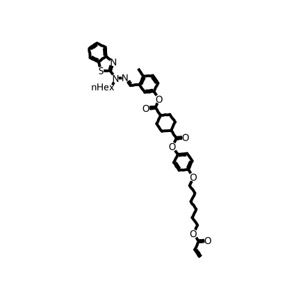 C=CC(=O)OCCCCCCOc1ccc(OC(=O)C2CCC(C(=O)Oc3ccc(C)c(/C=N/N(CCCCCC)c4nc5ccccc5s4)c3)CC2)cc1